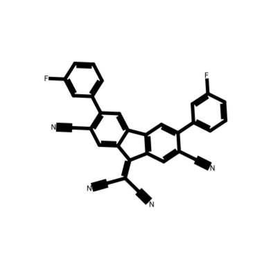 N#CC(C#N)=C1c2cc(C#N)c(-c3cccc(F)c3)cc2-c2cc(-c3cccc(F)c3)c(C#N)cc21